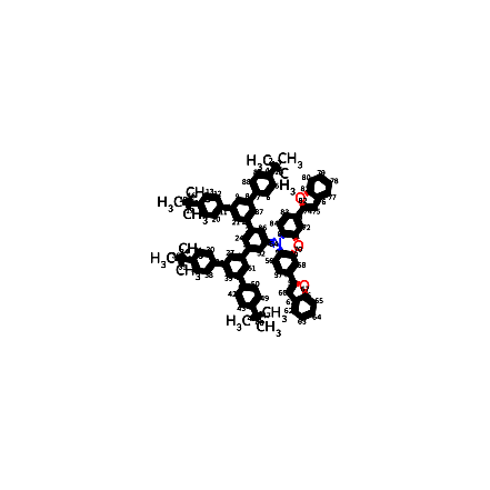 CC(C)(C)c1ccc(-c2cc(-c3ccc(C(C)(C)C)cc3)cc(-c3cc(-c4cc(-c5ccc(C(C)(C)C)cc5)cc(-c5ccc(C(C)(C)C)cc5)c4)cc(N4c5ccc(-c6cc7ccccc7o6)cc5Oc5cc(-c6cc7ccccc7o6)ccc54)c3)c2)cc1